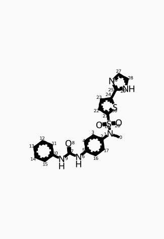 CN(c1ccc(NC(=O)Nc2ccccc2)cc1)S(=O)(=O)c1ccc(-c2ncc[nH]2)s1